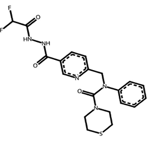 O=C(NNC(=O)C(F)F)c1ccc(CN(C(=O)N2CCSCC2)c2ccccc2)nc1